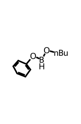 CCCCOBOc1ccccc1